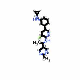 C=C(Nc1ncc(-c2cccc(NC3CC3)c2)cc1F)c1cnc(C)nc1